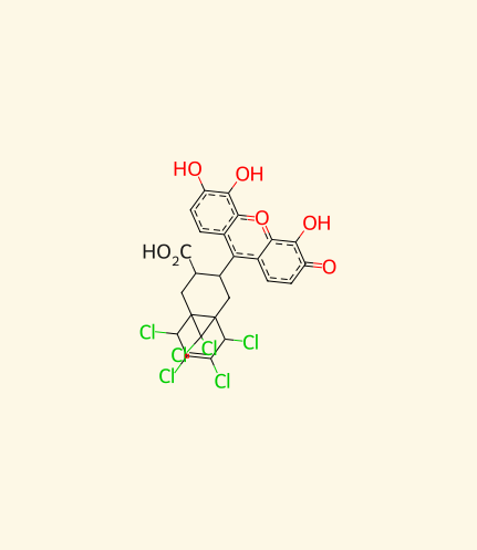 O=C(O)C1CC23C(Cl)C(Cl)=C(Cl)C(Cl)C2(CC1c1c2ccc(=O)c(O)c-2oc2c(O)c(O)ccc12)C3(Cl)Cl